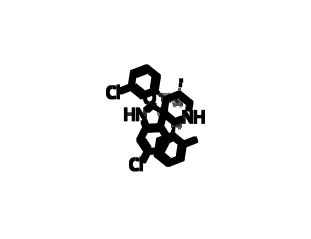 Cc1ccccc1[C@H]1NC[C@@H](C)[C@@H](c2cccc(Cl)c2)[C@]12C(=O)Nc1cc(Cl)ccc12